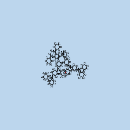 c1ccc(N2CCN(c3ccccc3)c3cc4c(cc32)-c2ccc(-n3c5ccccc5c5cc(-n6c7ccccc7c7ccccc76)ccc53)cc2-c2cc(-n3c5ccccc5c5cc(-n6c7ccccc7c7ccccc76)ccc53)ccc2-c2cccnc2-4)cc1